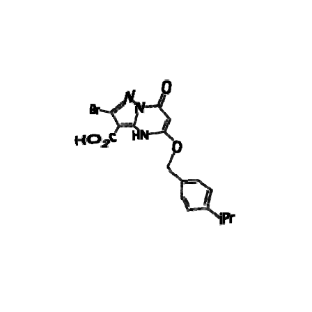 CC(C)c1ccc(COc2cc(=O)n3nc(Br)c(C(=O)O)c3[nH]2)cc1